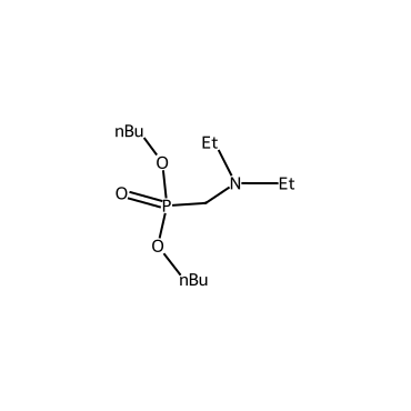 CCCCOP(=O)(CN(CC)CC)OCCCC